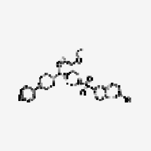 CCOC(=O)C1CN(S(=O)(=O)c2ccc3cc(Br)ccc3c2)CCN1C(=O)C1CCN(c2ccncc2)CC1